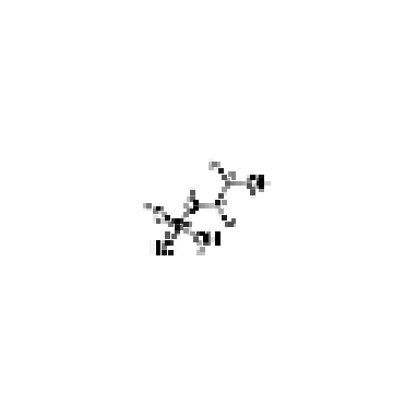 CC(O)C(C)OP(=O)(O)O